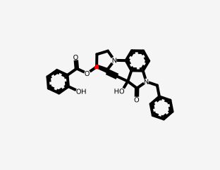 O=C(OCC#CC1(O)C(=O)N(Cc2ccccc2)c2cccc(N3CCCC3)c21)c1ccccc1O